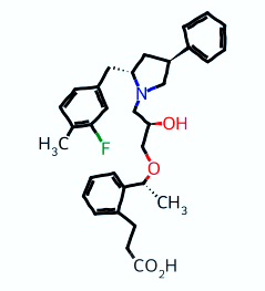 Cc1ccc(C[C@@H]2C[C@@H](c3ccccc3)CN2C[C@@H](O)CO[C@H](C)c2ccccc2CCC(=O)O)cc1F